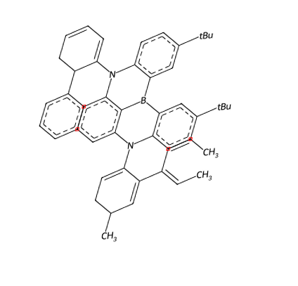 C/C=C\C(=C/C)C1=CC(C)CC=C1N1c2ccc(C(C)(C)C)cc2B2c3cc(C(C)(C)C)ccc3N(C3=CC=CCC3c3ccccc3)c3cccc1c32